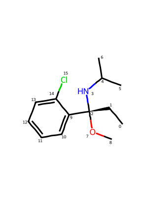 CC[C@@](NC(C)C)(OC)c1ccccc1Cl